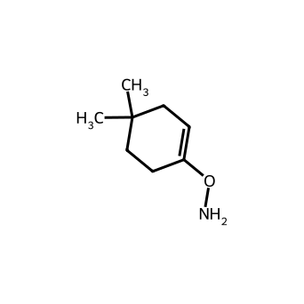 CC1(C)CC=C(ON)CC1